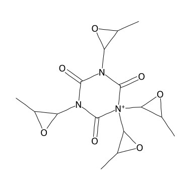 CC1OC1N1C(=O)N(C2OC2C)C(=O)[N+](C2OC2C)(C2OC2C)C1=O